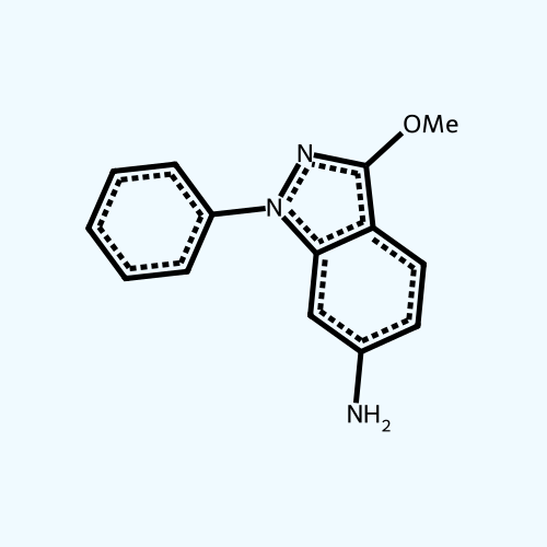 COc1nn(-c2ccccc2)c2cc(N)ccc12